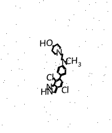 CN(CCN1CCC(O)CC1)c1ccc(-c2cc(Cl)c3c[nH]nc3c2Cl)cc1